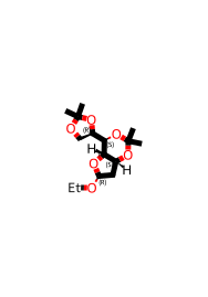 CCO[C@H]1C[C@@H]2OC(C)(C)O[C@@H]([C@H]3COC(C)(C)O3)[C@H]2O1